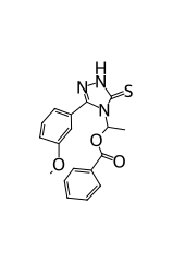 COc1cccc(-c2n[nH]c(=S)n2C(C)OC(=O)c2ccccc2)c1